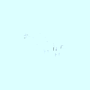 CC[N+](CC)(CC)Cc1ccc(Br)cc1